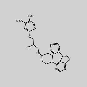 COc1ccc(OCC(O)CNC2CCC(c3ncnc4scc(-c5ccccc5)c34)CC2)cc1OC